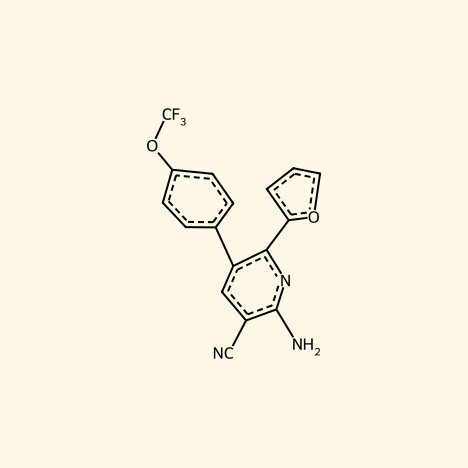 N#Cc1cc(-c2ccc(OC(F)(F)F)cc2)c(-c2ccco2)nc1N